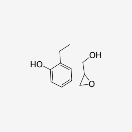 CCc1ccccc1O.OCC1CO1